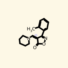 Cc1ccccc1C1=NOC(=O)/C1=C\N1CCCCC1